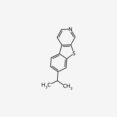 CC(C)c1ccc2c(c1)sc1cnccc12